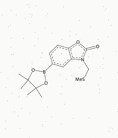 CSCn1c(=O)oc2ccc(B3OC(C)(C)C(C)(C)O3)cc21